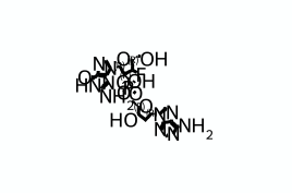 Nc1nc2c(ncn2[C@@H]2O[C@H](CO)C(F)[C@@H]2OP(=O)(O)OC[C@H]2O[C@@H](n3cnc4c(N)ncnc43)CC2O)c(=O)[nH]1